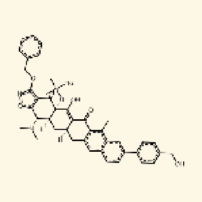 Cc1c2c(cc3ccc(-c4ccc(CO)cc4)cc13)C[C@H]1C[C@H]3[C@H](N(C)C)c4onc(OCc5ccccc5)c4C(=O)[C@@]3(O[Si](C)(C)C(C)(C)C)C(O)=C1C2=O